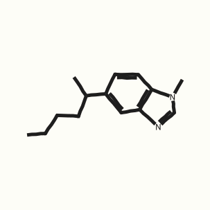 CCCCC(C)c1ccc2c(c1)ncn2C